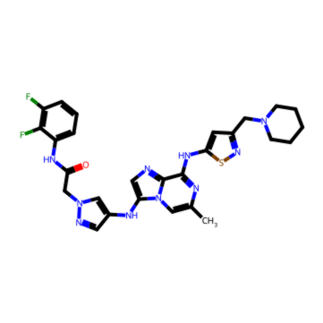 Cc1cn2c(Nc3cnn(CC(=O)Nc4cccc(F)c4F)c3)cnc2c(Nc2cc(CN3CCCCC3)ns2)n1